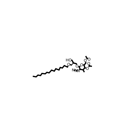 CCCCCCCCCCCCCCCCOC[C@@H](CO)COC1OC(COC(C)=O)C(OC(C)=O)C(C)C1N=[N+]=[N-]